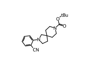 CC(C)(C)OC(=O)N1CCC2(CC1)CCN(c1ccccc1C#N)C2